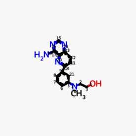 CN(CCO)c1cccc(-c2ccc3ncnc(N)c3n2)c1